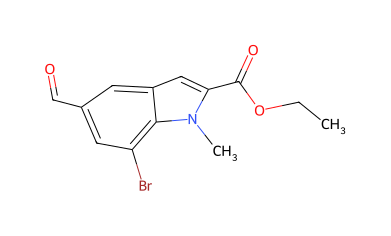 CCOC(=O)c1cc2cc(C=O)cc(Br)c2n1C